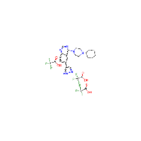 O=C(O)C(F)(F)F.O=C(O)C(F)(F)F.O=C(O)C(F)(F)F.c1nc(N2CCN(C3CCCCC3)CC2)c2cc(-c3cn[nH]c3)ccc2n1